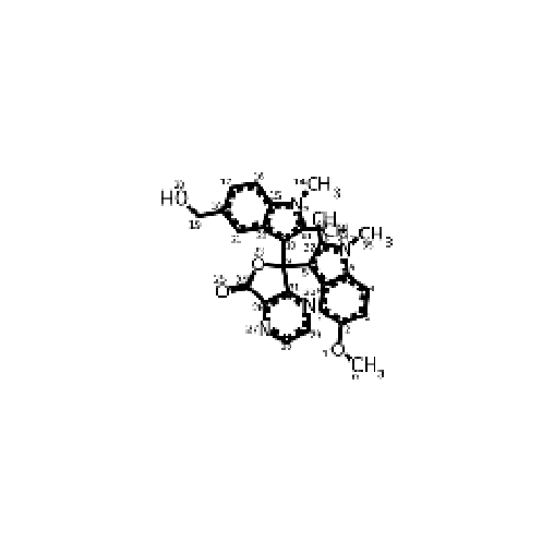 COc1ccc2c(c1)c(C1(c3c(C)n(C)c4ccc(CO)cc34)OC(=O)c3nccnc31)c(C)n2C